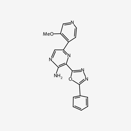 COc1cnccc1-c1cnc(N)c(-c2nnc(-c3ccccc3)o2)n1